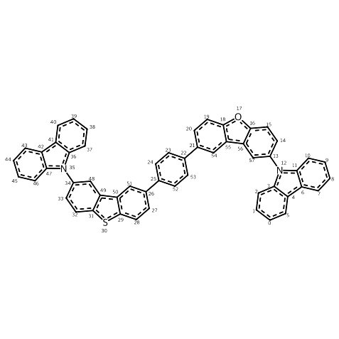 c1ccc2c(c1)c1ccccc1n2-c1ccc2oc3ccc(-c4ccc(-c5ccc6sc7ccc(-n8c9ccccc9c9ccccc98)cc7c6c5)cc4)cc3c2c1